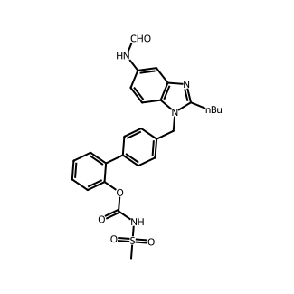 CCCCc1nc2cc(NC=O)ccc2n1Cc1ccc(-c2ccccc2OC(=O)NS(C)(=O)=O)cc1